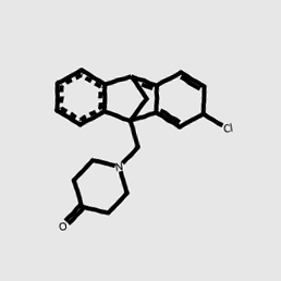 O=C1CCN(CC23CC(=C4C=CC(Cl)C=C42)c2ccccc23)CC1